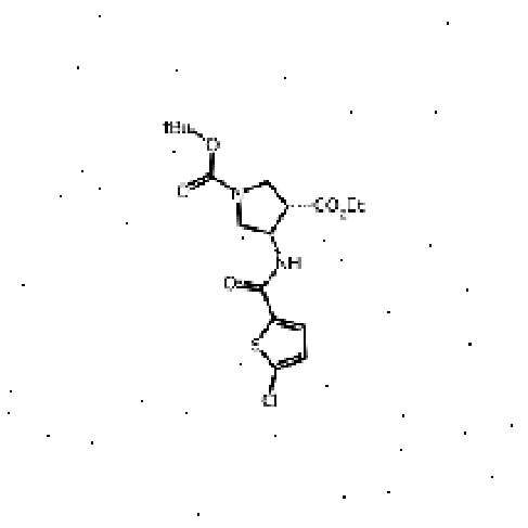 CCOC(=O)[C@H]1CN(C(=O)OC(C)(C)C)C[C@@H]1NC(=O)c1ccc(Cl)s1